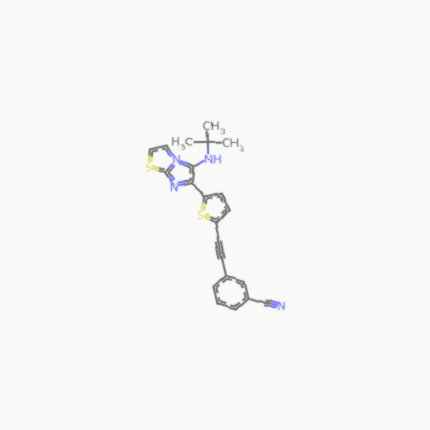 CC(C)(C)Nc1c(-c2ccc(C#Cc3cccc(C#N)c3)s2)nc2sccn12